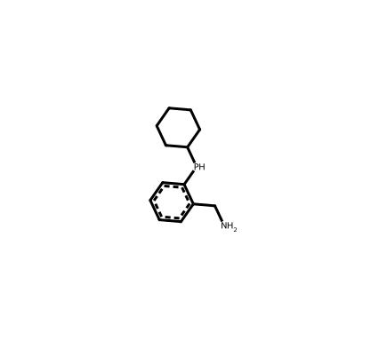 NCc1ccccc1PC1CCCCC1